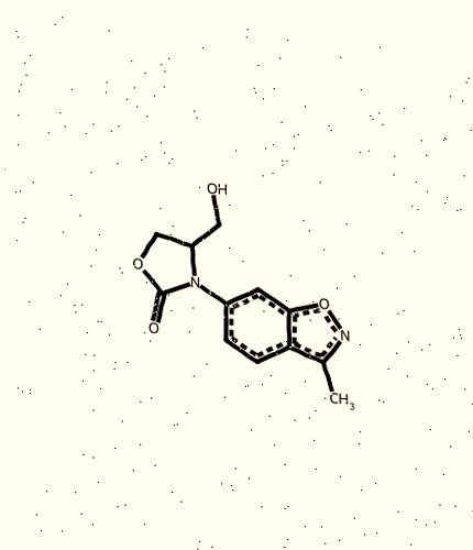 Cc1noc2cc(N3C(=O)OCC3CO)ccc12